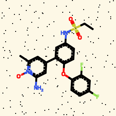 CCS(=O)(=O)Nc1ccc(Oc2ccc(F)cc2F)c(-c2cc(C)[n+]([O-])c(N)c2)c1